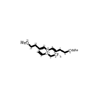 C=COCC(F)(F)F.COCCC=COC=CCCOC